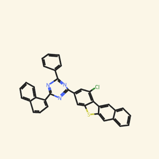 Clc1cc(-c2nc(-c3ccccc3)nc(-c3cccc4ccccc34)n2)cc2sc3cc4ccccc4cc3c12